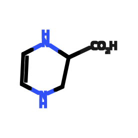 O=C(O)C1CNC=CN1